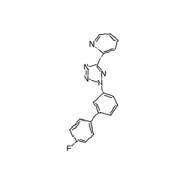 Fc1ccc(-c2cccc(-n3nnc(-c4ccccn4)n3)c2)cc1